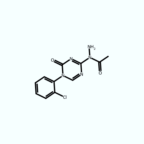 CC(=O)N(N)c1ncn(-c2ccccc2Cl)c(=O)n1